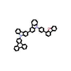 C1=CC2=CC(C=C1)c1cc(-c3ccc4c(c3)c3ccccc3n4-c3ccc4c5ccccc5c5ccccc5c4c3)ccc1N2c1ccc(-c2cccc3c2oc2ccccc23)cc1